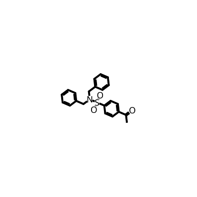 CC(=O)c1ccc(S(=O)(=O)N(Cc2ccccc2)Cc2ccccc2)cc1